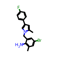 Cc1cc(Br)cc(Cn2cc(-c3ccc(F)cc3)cc2C)c1N